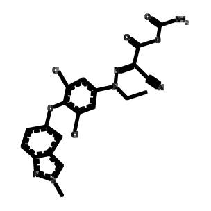 CCN(N=C(C#N)C(=O)OC(N)=O)c1cc(Cl)c(Oc2ccc3nn(C)cc3c2)c(Cl)c1